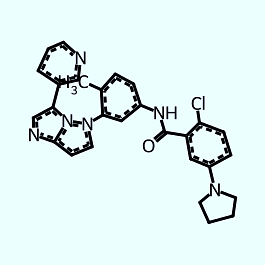 Cc1ccc(NC(=O)c2cc(N3CCCC3)ccc2Cl)cc1-n1ccc2ncc(-c3cccnc3)n21